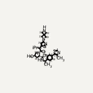 Cc1ncsc1-c1ccc(C(C)NC(=O)[C@@H]2C[C@@H](O)CN2C(=O)C(c2cc(N3CC4(CNC4)C3)no2)C(C)C)cc1